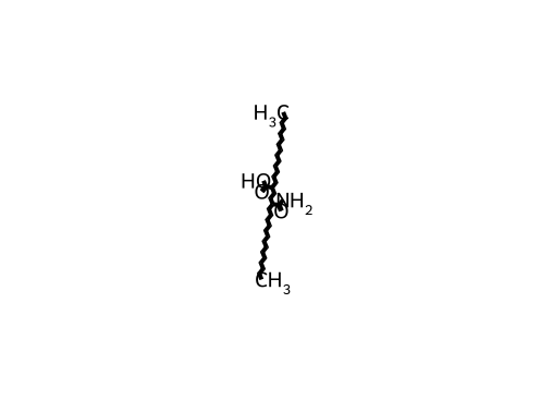 CCCCCCCCCCCCCCC(CCC(CCCCCCCCCCCCCC)C(=O)O)C(N)=O